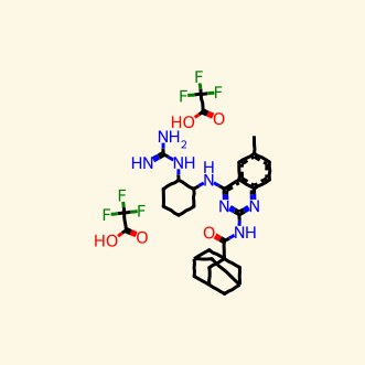 Cc1ccc2nc(NC(=O)C34CC5CC(CC(C5)C3)C4)nc(NC3CCCCC3NC(=N)N)c2c1.O=C(O)C(F)(F)F.O=C(O)C(F)(F)F